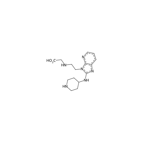 O=C(O)CNCCn1c(NC2CCNCC2)nc2cccnc21